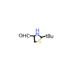 CC(C)(C)C1NC(C=O)CS1